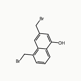 Oc1cc(CBr)cc2c(CBr)cccc12